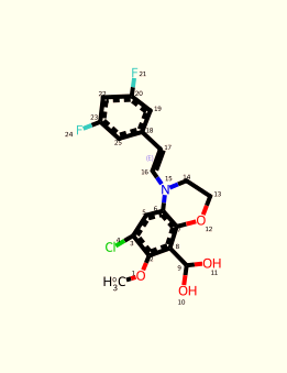 COc1c(Cl)cc2c(c1C(O)O)OCCN2/C=C/c1cc(F)cc(F)c1